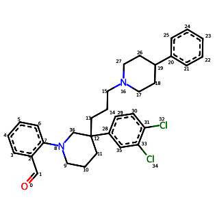 O=Cc1ccccc1N1CCCC(CCCN2CCC(c3ccccc3)CC2)(c2ccc(Cl)c(Cl)c2)C1